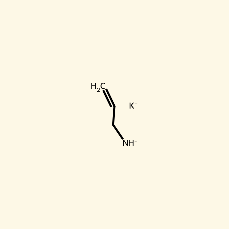 C=CC[NH-].[K+]